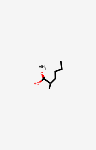 CCCCC(C)C(=O)O.[AlH3]